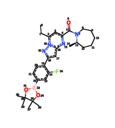 CCc1cc(C(=O)N2CCCCC[C@H]2C)nc2cc(-c3ccc(B4OC(C)(C)C(C)(C)O4)cc3F)nn12